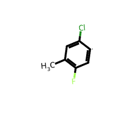 Cc1cc(Cl)[c]cc1F